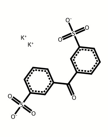 O=C(c1cccc(S(=O)(=O)[O-])c1)c1cccc(S(=O)(=O)[O-])c1.[K+].[K+]